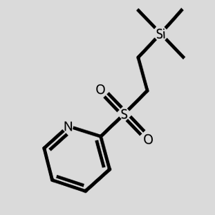 C[Si](C)(C)CCS(=O)(=O)c1ccccn1